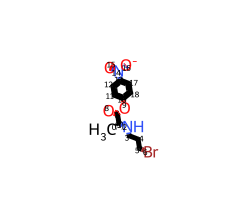 C[C@H](NCCCBr)C(=O)Oc1ccc([N+](=O)[O-])cc1